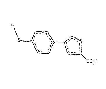 CC(C)Sc1ccc(-c2csc(C(=O)O)c2)cc1